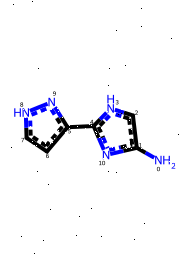 Nc1c[nH]c(-c2cc[nH]n2)n1